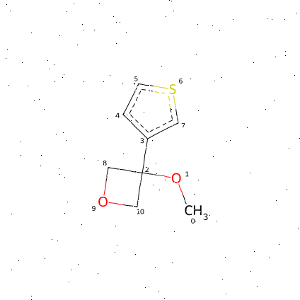 COC1(c2c[c]sc2)COC1